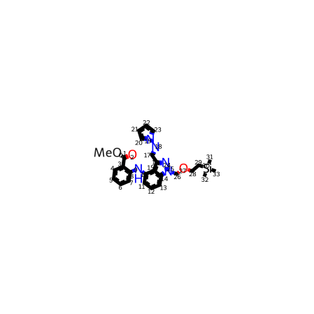 COC(=O)c1ccccc1Nc1cccc2c1c(C=Nn1cccc1)nn2COCC[Si](C)(C)C